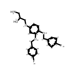 NCC(O)COc1ccc(OCc2ccc(F)cc2)c(OCc2ccc(F)cc2)c1